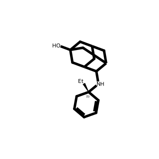 CC[C@@]1(NC2C3CC4CC2CC(O)(C4)C3)C=CC=CC1